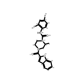 CC1CN(C(=O)c2cc3ccccc3o2)CCN1C(=O)Nc1ccc(F)cc1F